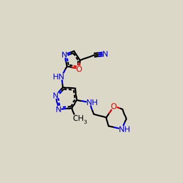 Cc1nnc(Nc2ncc(C#N)o2)cc1NCC1CNCCO1